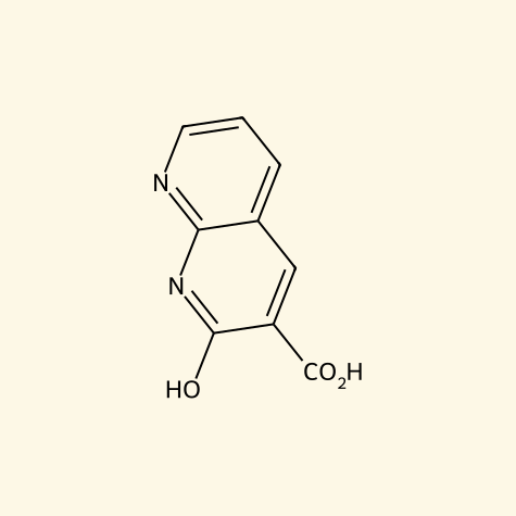 O=C(O)c1cc2cccnc2nc1O